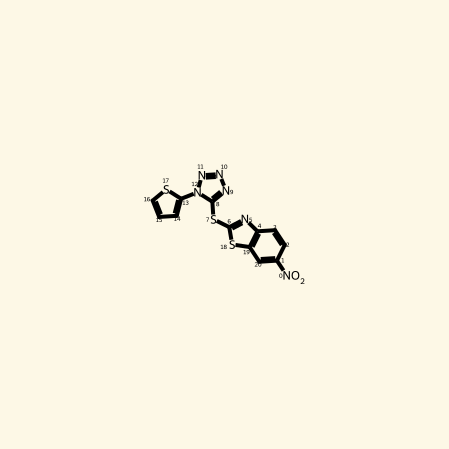 O=[N+]([O-])c1ccc2nc(Sc3nnnn3-c3cccs3)sc2c1